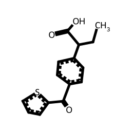 CCC(C(=O)O)c1ccc(C(=O)c2cccs2)cc1